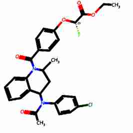 CCOC(=O)[C@H](F)Oc1ccc(C(=O)N2c3ccccc3C(N(C(C)=O)c3ccc(Cl)cc3)CC2C)cc1